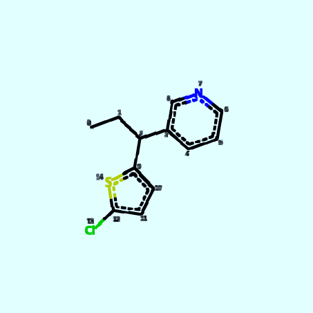 CCC(c1cccnc1)c1ccc(Cl)s1